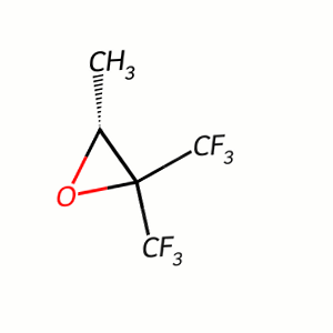 C[C@H]1OC1(C(F)(F)F)C(F)(F)F